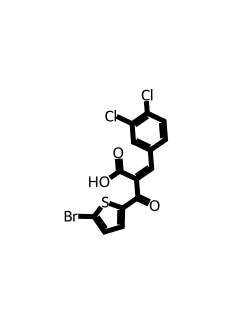 O=C(O)C(=Cc1ccc(Cl)c(Cl)c1)C(=O)c1ccc(Br)s1